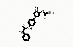 C[C@@H](C(=O)Nc1ccc(C2CNC(OC(=O)C(C)(C)C)C2)cc1)c1ccccc1